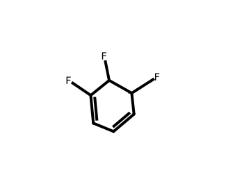 F[C]1C=CC=C(F)C1F